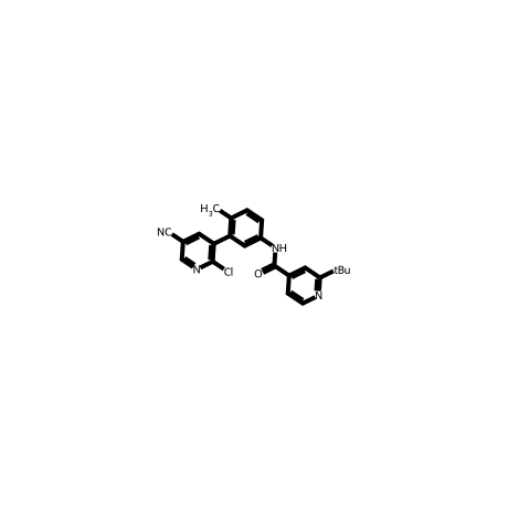 Cc1ccc(NC(=O)c2ccnc(C(C)(C)C)c2)cc1-c1cc(C#N)cnc1Cl